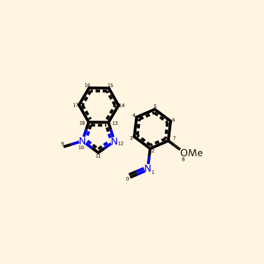 C=Nc1ccccc1OC.Cn1cnc2ccccc21